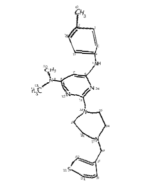 Cc1ccc(Nc2cc(N(C)C)nc(N3CCN(Cc4ccsc4)CC3)n2)cc1